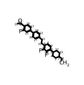 C=CC1CCC(c2ccc(CCc3ccc(-c4ccc(C5CO5)c(F)c4)cc3)c(F)c2F)CC1